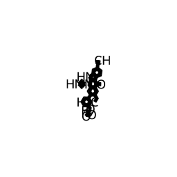 C#Cc1ccc2c(c1)[nH]c1c2c(=O)c2cc(CC)c(-c3cccc(OS(=O)(=O)F)c3)cc2n1C1CNC1